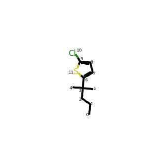 CCCC(C)(C)c1ccc(Cl)s1